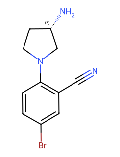 N#Cc1cc(Br)ccc1N1CC[C@H](N)C1